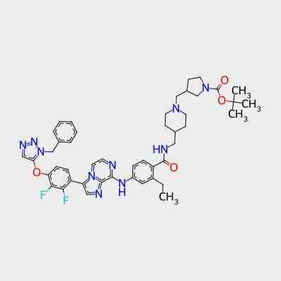 CCc1cc(Nc2nccn3c(-c4ccc(Oc5cnnn5Cc5ccccc5)c(F)c4F)cnc23)ccc1C(=O)NCC1CCN(CC2CCN(C(=O)OC(C)(C)C)C2)CC1